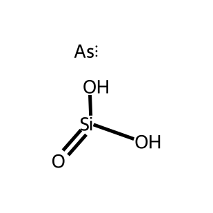 O=[Si](O)O.[As]